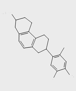 CCCCCCCC1CCc2c(ccc3c2CCC(c2cc(F)c(C#N)cc2F)C3)C1